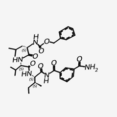 CC[C@H](C)[C@H](NC(=O)[C@@H](NC(=O)[C@H](CC(C)C)NC(=O)OCc1ccccc1)C(C)C)C(=O)NC(=O)c1cccc(C(N)=O)c1